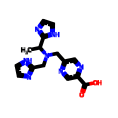 CC(c1ncc[nH]1)N(Cc1cnc(C(=O)O)cn1)Cc1ncc[nH]1